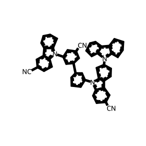 N#Cc1cc(-c2cccc(-n3c4ccc(C#N)cc4c4ccc(-n5c6ccccc6c6ccccc65)cc43)c2)cc(-n2c3ccccc3c3cc(C#N)ccc32)c1